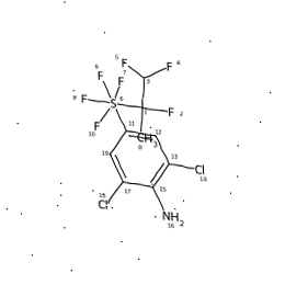 CC(F)(C(F)F)S(F)(F)(F)(F)c1cc(Cl)c(N)c(Cl)c1